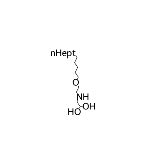 CCCCCCCCCCCCOCCNCC(O)O